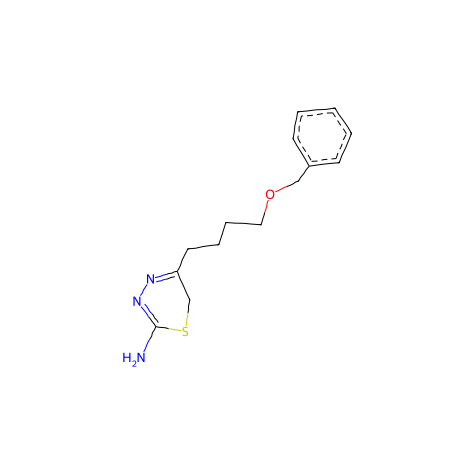 NC1=NN=C(CCCCOCc2ccccc2)CS1